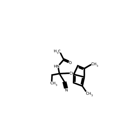 CCC(C)(C#N)NC(C)=O.Cc1cc2cc(C)c1-2